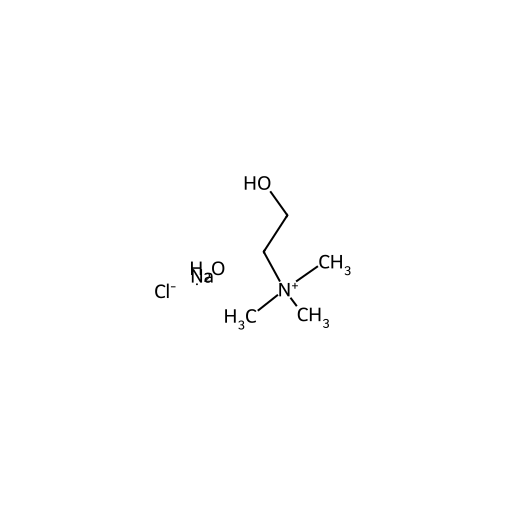 C[N+](C)(C)CCO.O.[Cl-].[Na]